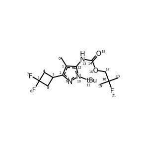 Cc1c(C2CC(F)(F)C2)nn(C(C)(C)C)c1NC(=O)OCC(C)(C)F